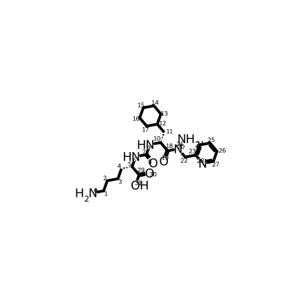 NCCCC[C@H](NC(=O)N[C@H](CC1CCCCC1)C(=O)N(N)Cc1ccccn1)C(=O)O